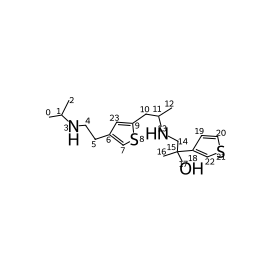 CC(C)NCCc1csc(CC(C)NCC(C)(O)c2ccsc2)c1